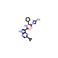 N#CC1CN(C(=O)[C@H](NC(=O)c2c[nH]c3ncc(C4CC4)nc23)C2CCCC2)C1